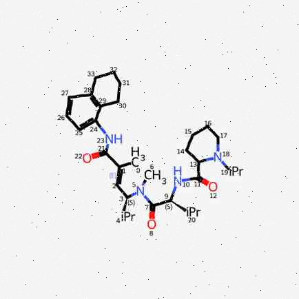 C/C(=C\[C@H](C(C)C)N(C)C(=O)[C@@H](NC(=O)C1CCCCN1C(C)C)C(C)C)C(=O)Nc1cccc2c1CCCC2